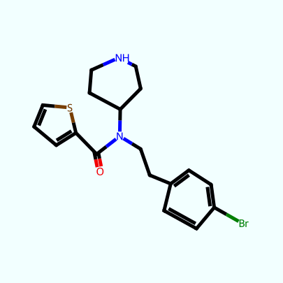 O=C(c1cccs1)N(CCc1ccc(Br)cc1)C1CCNCC1